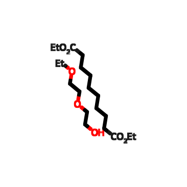 CCOC(=O)CCCCCCCCC(=O)OCC.CCOCCOCCO